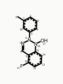 Cc1cccc(N2N=Cc3c(F)cccc3N2O)c1